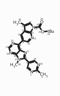 Cc1ncc(-c2nc3c(-c4cnc5c(c4)c(C)cn5C(=O)OC(C)(C)C)ncnc3n2C)cn1